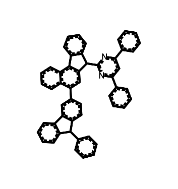 c1ccc(-c2cc(-c3ccccc3)nc(C3c4ccccc4-c4c3cc(-c3ccc5c(c3)-c3ccccc3C5c3ccccc3)c3ccccc43)n2)cc1